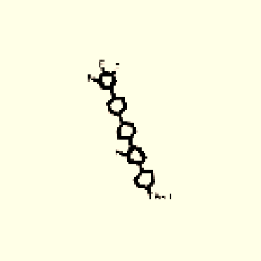 CCCCCC1CCC(c2ccc(C3CCC(C4CCC(c5cc(F)c(F)c(F)c5)CC4)CC3)c(F)c2)CC1